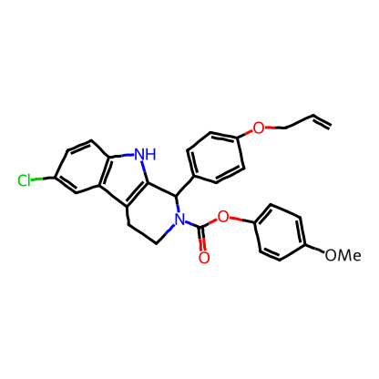 C=CCOc1ccc(C2c3[nH]c4ccc(Cl)cc4c3CCN2C(=O)Oc2ccc(OC)cc2)cc1